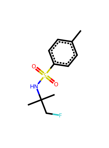 Cc1ccc(S(=O)(=O)NC(C)(C)CF)cc1